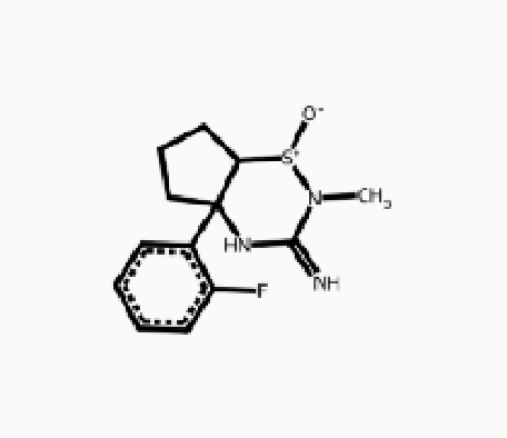 CN1C(=N)NC2(c3ccccc3F)CCCC2[S+]1[O-]